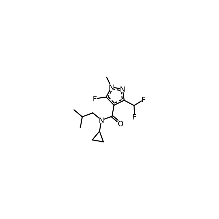 CC(C)CN(C(=O)c1c(C(F)F)nn(C)c1F)C1CC1